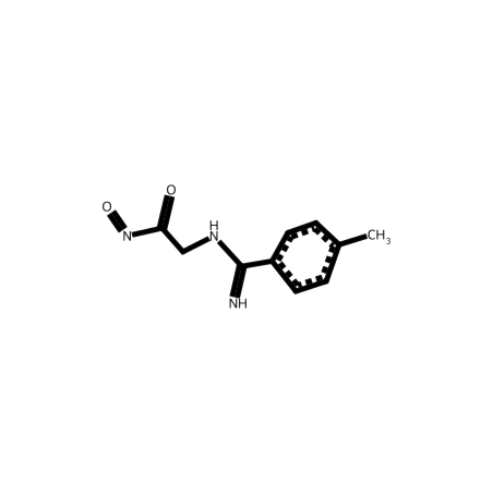 Cc1ccc(C(=N)NCC(=O)N=O)cc1